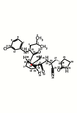 CC(C)C[C@H](Nc1cccc(Cl)c1)C(=O)N1[C@H]2CC[C@@H]([C@@H]1C(=O)N[C@H](C#N)C[C@@H]1CCNC1=O)C(F)(F)C2